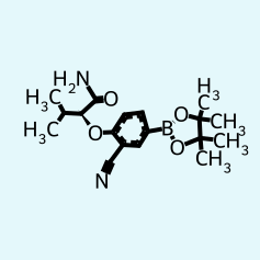 CC(C)[C@H](Oc1ccc(B2OC(C)(C)C(C)(C)O2)cc1C#N)C(N)=O